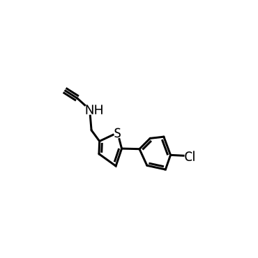 C#CNCc1ccc(-c2ccc(Cl)cc2)s1